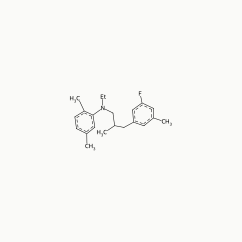 CCN(CC(C)Cc1cc(C)cc(F)c1)c1cc(C)ccc1C